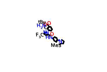 CSC1CCCN1c1ccc(NC(=O)c2cc(C(F)(F)F)nn2-c2cccc(C(=O)OC(C)(C)C)c2CN)cc1